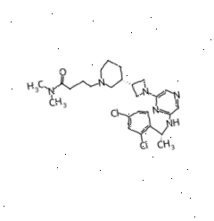 C[C@@H](Nc1cncc(N2CC([C@H]3CCCN(CCCC(=O)N(C)C)C3)C2)n1)c1ccc(Cl)cc1Cl